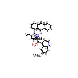 C=CC1C[N+]2(Cc3c4ccccc4cc4ccccc34)CCC1C[C@H]2[C@H](O)c1ccnc2ccc(OC)cc12